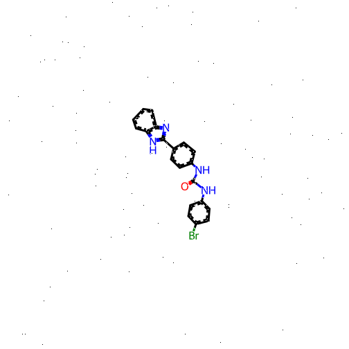 O=C(Nc1ccc(Br)cc1)Nc1ccc(-c2nc3ccccc3[nH]2)cc1